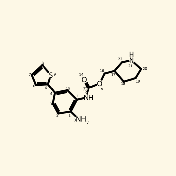 Nc1ccc(-c2cccs2)cc1NC(=O)OCC1CCCNC1